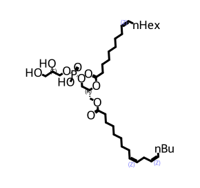 CCCC/C=C\C/C=C\CCCCCCCC(=O)OC[C@H](COP(=O)(O)OC[C@@H](O)CO)OC(=O)CCCCCCC/C=C\CCCCCC